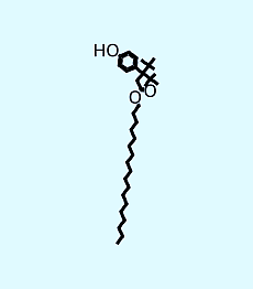 CCCCCCCCCCCCCCCCCCOC(=O)CC(c1ccc(O)cc1)(C(C)(C)C)C(C)(C)C